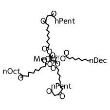 CCCCCCCCCCCCCCCCCC(=O)OC[C@H]1O[C@@](COC(=O)CCCCCCCC2OC2CC2OC2CCCCC)(OC)[C@@H](OC(=O)CCCCCCCC2OC2CCCCCCCC)[C@@H]1OC(=O)CCCCCCCC1OC1CC1OC1CCCCC